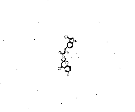 Cn1cc(Cl)c2cc(CNC(=O)N3CC4(CC(=O)c5cc(F)ccc5O4)C3)ccc21